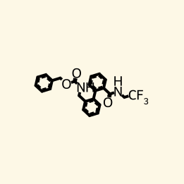 O=C(NCc1ccccc1-c1ccccc1C(=O)NCC(F)(F)F)OCc1ccccc1